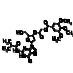 COc1cc(C(=O)OCC(=O)OC2CC(n3cnc4c(=O)[nH]c(NC(=O)C(C)C)nc43)OC2CO)cc(OC)c1OC